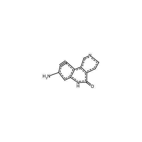 Nc1c#cc2c(c1)[nH]c(=O)c1ccncc12